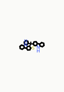 CC1(c2ccccc2)c2ccc3c([nH]c4ccccc43)c2Sc2ccc3c([nH]c4ccccc43)c21